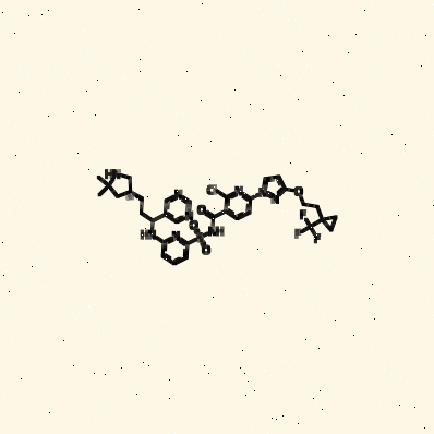 CC1(C)C[C@H](CCC(Nc2cccc(S(=O)(=O)NC(=O)c3ccc(-n4ccc(OCCC5(C(F)(F)F)CC5)n4)nc3Cl)n2)c2cncnc2)CN1